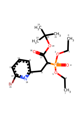 CCOP(=O)(OCC)C(Cc1cccc(Br)n1)C(=O)OC(C)(C)C